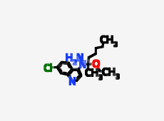 CCCCCC(C)(OCC)N(N)c1ccnc2cc(Cl)ccc12